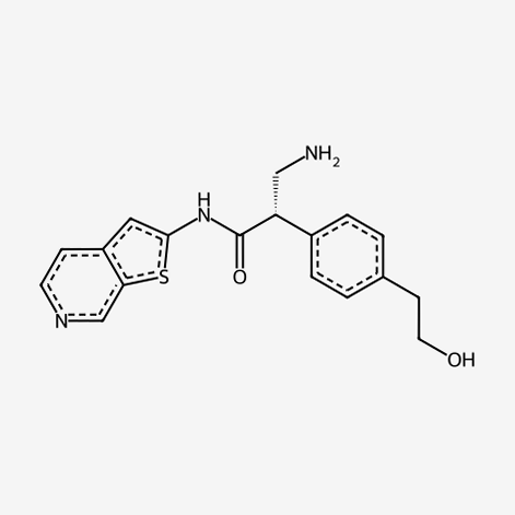 NC[C@@H](C(=O)Nc1cc2ccncc2s1)c1ccc(CCO)cc1